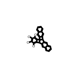 Clc1c(Cl)c(Cl)c2c(c1Cl)C1c3cc4ccccc4cc3C3c4cc5ccccc5cc4C231